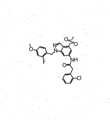 COc1ccc(Cn2ncc3c(S(C)(=O)=O)cc(NC(=O)Cc4ccccc4Cl)cc32)c(F)c1